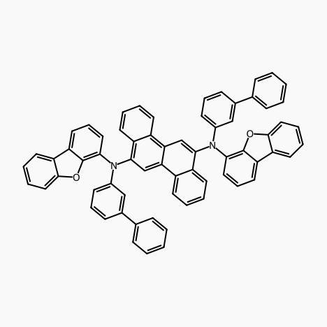 c1ccc(-c2cccc(N(c3cc4c5ccccc5c(N(c5cccc(-c6ccccc6)c5)c5cccc6c5oc5ccccc56)cc4c4ccccc34)c3cccc4c3oc3ccccc34)c2)cc1